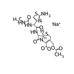 CNC(=O)NC(C(=O)NC1C(=O)N2C(C(=O)[O-])=C(COC(C)=O)CS[C@@H]12)c1csc(N)n1.[Na+]